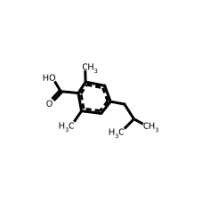 Cc1cc(CC(C)C)cc(C)c1C(=O)O